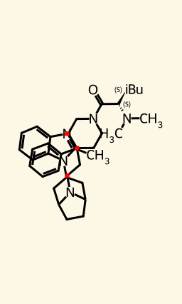 CC[C@H](C)[C@@H](C(=O)N1CCC(CCN2C3CCC2CC(n2c(C)nc4ccccc42)C3)(c2ccccc2)CC1)N(C)C